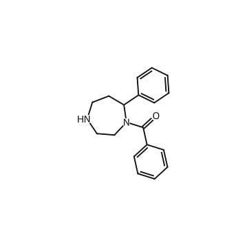 O=C(c1ccccc1)N1CCNCCC1c1ccccc1